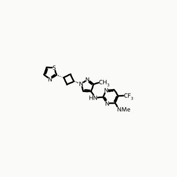 CNc1nc(Nc2cn([C@H]3C[C@@H](c4nccs4)C3)nc2C)ncc1C(F)(F)F